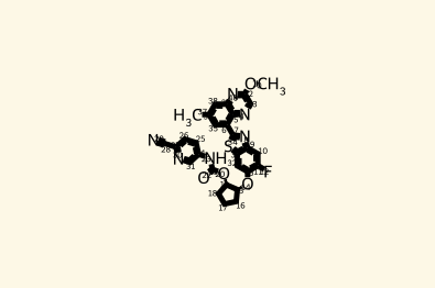 COc1cnc2c(-c3nc4cc(F)c(O[C@H]5CCC[C@H]5OC(=O)Nc5ccc(C#N)nc5)cc4s3)cc(C)cc2n1